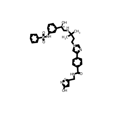 CC(C)(CCn1cnc(-c2ccc(C(=O)NCc3cc(O)ns3)cc2)c1)NC[C@H](O)c1cccc(NS(=O)(=O)c2ccccc2)c1